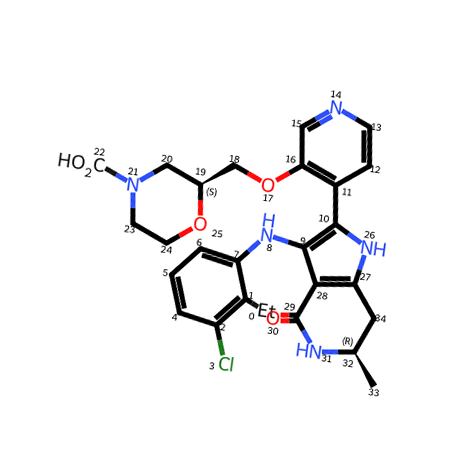 CCc1c(Cl)cccc1Nc1c(-c2ccncc2OC[C@@H]2CN(C(=O)O)CCO2)[nH]c2c1C(=O)N[C@H](C)C2